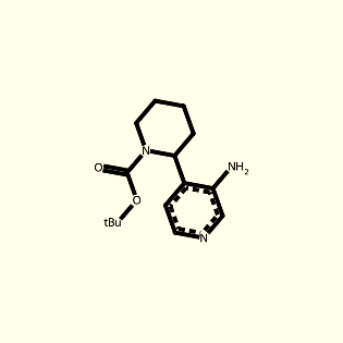 CC(C)(C)OC(=O)N1CCCCC1c1ccncc1N